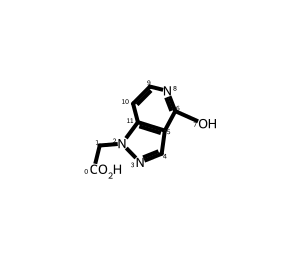 O=C(O)Cn1ncc2c(O)nccc21